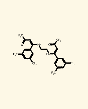 O=C(C=C(NCCNC(=CC(=O)C(F)(F)F)c1cc(C(F)(F)F)cc(C(F)(F)F)c1)c1cc(C(F)(F)F)cc(C(F)(F)F)c1)C(F)(F)F